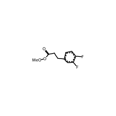 COOC(=O)CCc1ccc(F)c(F)c1